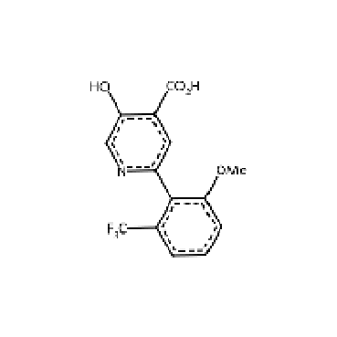 COc1cccc(C(F)(F)F)c1-c1cc(C(=O)O)c(O)cn1